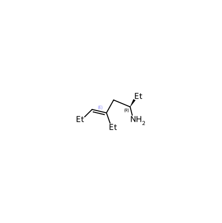 CC/C=C(\CC)C[C@H](N)CC